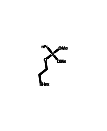 CCCCCCCCO[Si](CCC)(OC)OC